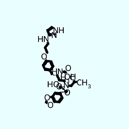 CC(C)CN(C[C@@H](O)[C@H](Cc1ccc(OCCCNc2cc[nH]n2)cc1)NC(=O)O)S(=O)(=O)c1ccc2c(c1)OCO2